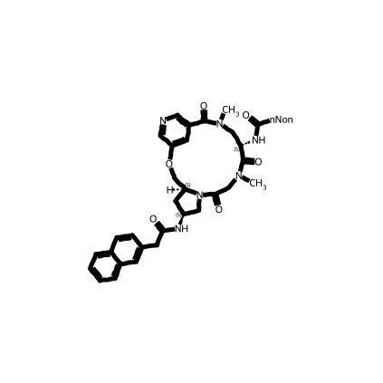 CCCCCCCCCC(=O)N[C@H]1CN(C)C(=O)c2cncc(c2)OC[C@@H]2C[C@H](NC(=O)Cc3ccc4ccccc4c3)CN2C(=O)CN(C)C1=O